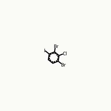 Clc1c(Br)ccc(I)c1Br